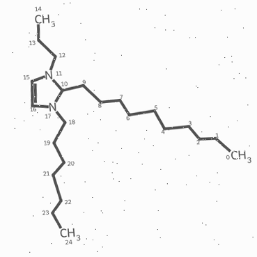 CCCCCCCCCCC1N(CCC)C=CN1CCCCCCC